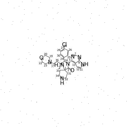 NC1(C(=O)N(c2ncnc3[nH]ccc23)C(CCCN2CCOCC2)c2ccc(Cl)cc2)CCNCC1